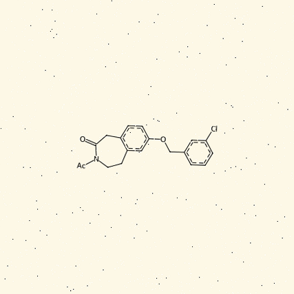 CC(=O)N1CCc2cc(OCc3cccc(Cl)c3)ccc2CC1=O